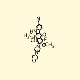 COc1c(N2CCN(C3CCOCC3)CC2)cc2c(c1F)c(=O)c1c3ccc(C#N)cc3[nH]c1n2C(C)C